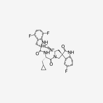 C#[N+][C@@H]1C[C@@]2(CN1C(=O)[C@H](CC1CC1)NC(=O)c1cc3c(F)ccc(F)c3[nH]1)C(=O)Nc1ccc(F)cc12